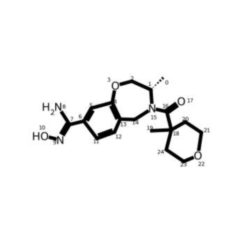 C[C@H]1COc2cc(C(N)=NO)ccc2CN1C(=O)C1(C)CCOCC1